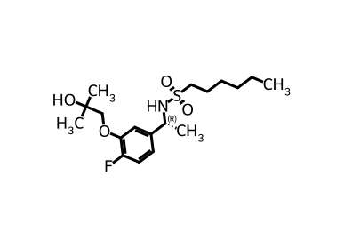 CCCCCCS(=O)(=O)N[C@H](C)c1ccc(F)c(OCC(C)(C)O)c1